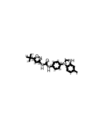 Cc1ccc2c(c1)NCN2c1ccc(NC(=O)Nc2cc(C(C)(C)C)on2)cc1